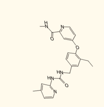 CCc1cc(CNC(=O)Nc2cc(C)ccn2)ccc1Oc1ccnc(C(=O)NC)c1